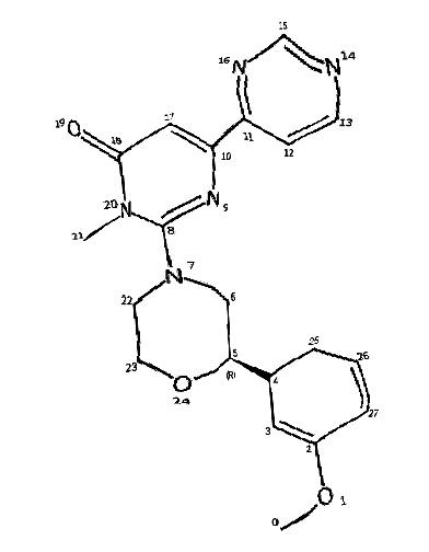 COC1=CC([C@@H]2CN(c3nc(-c4ccncn4)cc(=O)n3C)CCO2)CC=C1